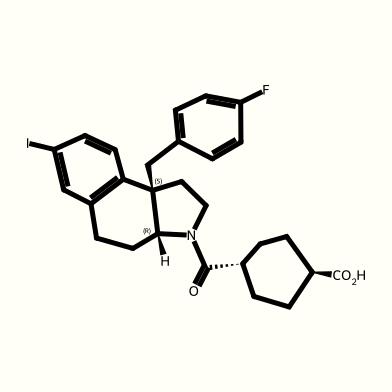 O=C(O)[C@H]1CC[C@H](C(=O)N2CC[C@@]3(Cc4ccc(F)cc4)c4ccc(I)cc4CC[C@@H]23)CC1